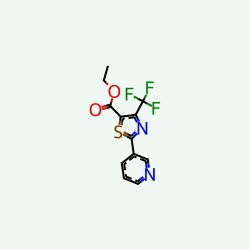 CCOC(=O)c1sc(-c2cccnc2)nc1C(F)(F)F